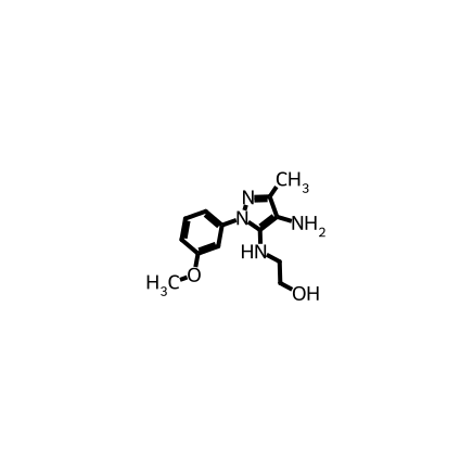 COc1cccc(-n2nc(C)c(N)c2NCCO)c1